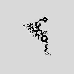 CS(=O)(=O)NC(=O)C1=C(c2ccn(CC3CCC3)n2)CC(c2ccc(OCCCC(F)(F)F)cc2)(C(F)(F)F)NC1=O